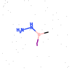 CB(I)NN